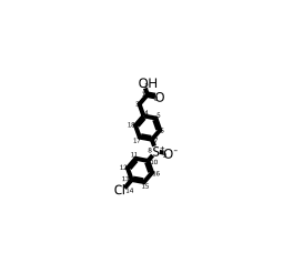 O=C(O)Cc1ccc([S+]([O-])c2ccc(Cl)cc2)cc1